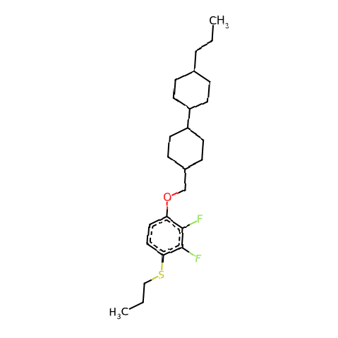 CCCSc1ccc(OCC2CCC(C3CCC(CCC)CC3)CC2)c(F)c1F